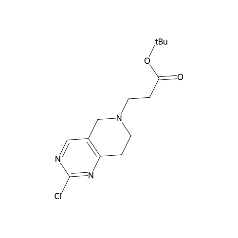 CC(C)(C)OC(=O)CCN1CCc2nc(Cl)ncc2C1